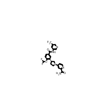 NC(=O)c1cc(N2CC[C@@H](c3cc(C(=O)Nc4cncc(C(F)(F)F)c4)ccc3OC(F)F)C2)ccn1